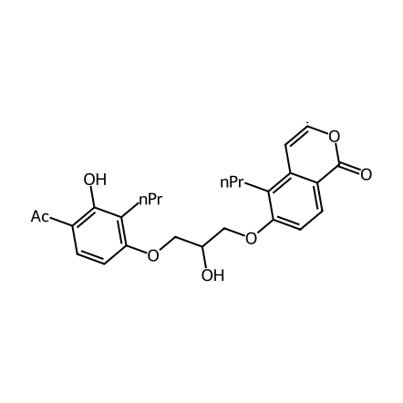 CCCc1c(OCC(O)COc2ccc3c(=O)o[c]cc3c2CCC)ccc(C(C)=O)c1O